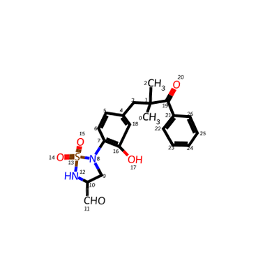 CC(C)(Cc1ccc(N2CC(C=O)NS2(=O)=O)c(O)c1)C(=O)c1ccccc1